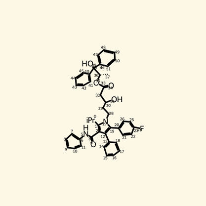 CC(C)c1c(C(=O)Nc2ccccc2)c(-c2ccccc2)c(-c2ccc(F)cc2)n1CCC(O)CC(=O)O[C@@H](C)C(O)(c1ccccc1)c1ccccc1